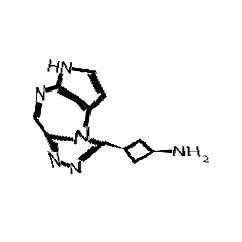 N[C@H]1C[C@@H](c2nnc3cnc4[nH]ccc4n32)C1